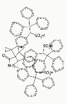 NC(=O)C(C1(c2ccc(C(C(c3ccccc3)(c3ccccc3)c3ccccc3)S(=O)(=O)O)cc2)CC1)(C1(c2ccc(C(C(c3ccccc3)(c3ccccc3)c3ccccc3)S(=O)(=O)O)cc2)CC1)C1(c2ccc(C(C(c3ccccc3)(c3ccccc3)c3ccccc3)S(=O)(=O)O)cc2)CC1